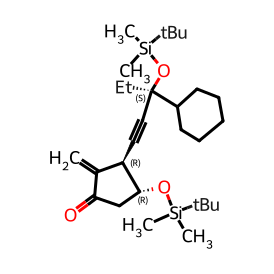 C=C1C(=O)C[C@@H](O[Si](C)(C)C(C)(C)C)[C@@H]1C#C[C@@](CC)(O[Si](C)(C)C(C)(C)C)C1CCCCC1